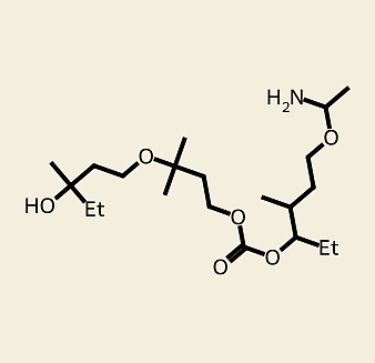 CCC(OC(=O)OCCC(C)(C)OCCC(C)(O)CC)C(C)CCOC(C)N